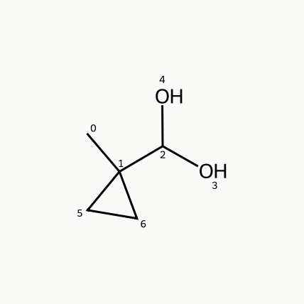 CC1(C(O)O)CC1